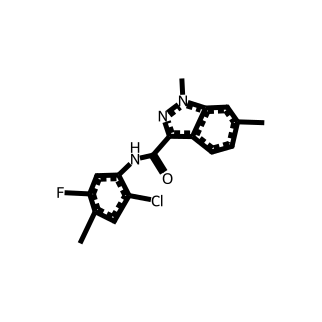 Cc1ccc2c(C(=O)Nc3cc(F)c(C)cc3Cl)nn(C)c2c1